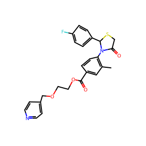 Cc1cc(C(=O)OCCOCc2ccncc2)ccc1N1C(=O)CSC1c1ccc(F)cc1